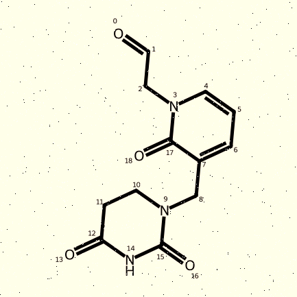 O=CCn1cccc(CN2CCC(=O)NC2=O)c1=O